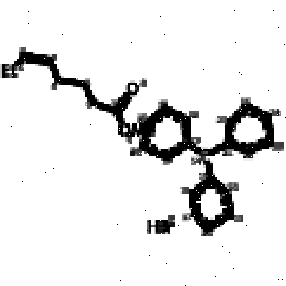 Br.CC/C=C\CCCC(=O)OC.c1ccc(P(c2ccccc2)c2ccccc2)cc1